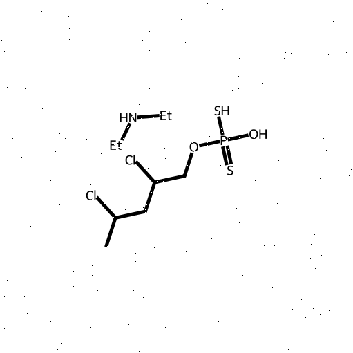 CC(Cl)CC(Cl)COP(O)(=S)S.CCNCC